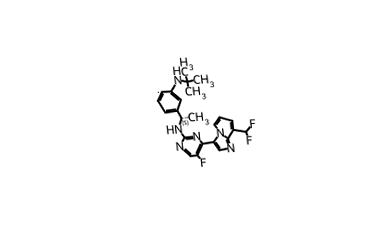 C[C@H](Nc1ncc(F)c(-c2cnc3c(C(F)F)cccn23)n1)c1cc[c]c(NC(C)(C)C)c1